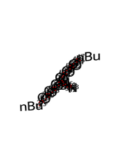 CCCCC1CCC(C(=O)Oc2ccc(C(=O)O[C@H]3CC[C@H](C(=O)Oc4ccc(OC(=O)[C@H]5CC[C@H](OC(=O)c6ccc(OC(=O)[C@H]7CC[C@H](CCCC)CC7)cc6)CC5)c5nc(-c6ccc(N(C)C)cc6)sc45)CC3)cc2)CC1